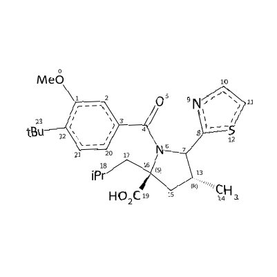 COc1cc(C(=O)N2C(c3nccs3)[C@H](C)C[C@@]2(CC(C)C)C(=O)O)ccc1C(C)(C)C